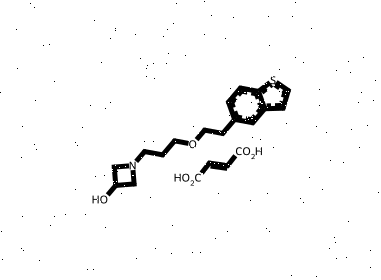 O=C(O)C=CC(=O)O.OC1CN(CCCOCCc2ccc3sccc3c2)C1